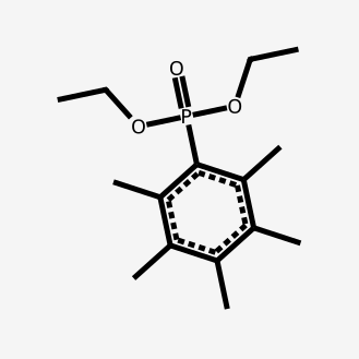 CCOP(=O)(OCC)c1c(C)c(C)c(C)c(C)c1C